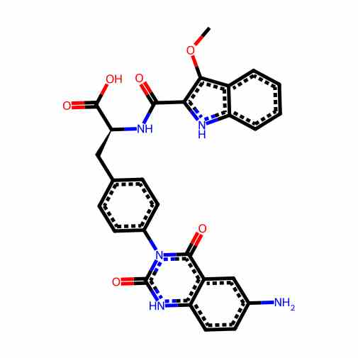 COc1c(C(=O)N[C@@H](Cc2ccc(-n3c(=O)[nH]c4ccc(N)cc4c3=O)cc2)C(=O)O)[nH]c2ccccc12